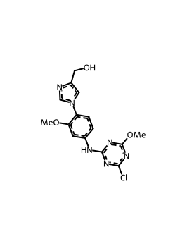 COc1nc(Cl)nc(Nc2ccc(-n3cnc(CO)c3)c(OC)c2)n1